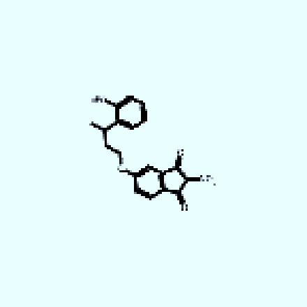 CCCc1ccccc1C(C)CCOc1ccc2c(c1)C(=O)C([N+](=O)[O-])C2=O